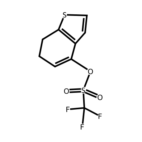 O=S(=O)(OC1=CCCc2sccc21)C(F)(F)F